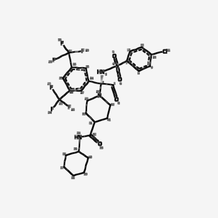 O=C[C@](NS(=O)(=O)c1ccc(Cl)cc1)(c1cc(C(F)(F)F)cc(C(F)(F)F)c1)N1CCC(C(=O)NC2CCCCC2)CC1